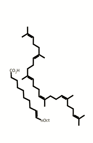 CC(C)=CCCC(C)=CCCC(C)=CCCC=C(C)CCC=C(C)CCC=C(C)C.CCCCCCCCC=CCCCCCCCC(=O)O